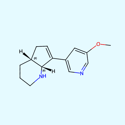 COc1cncc(C2=CC[C@H]3CCCN[C@@H]23)c1